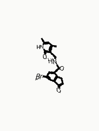 Cc1cc(C)c(CNC(=O)c2cc(Br)cc3c2CCC3=O)c(=O)[nH]1